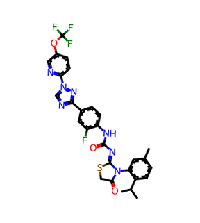 Cc1ccc(C(C)C)c(N2C(=O)CSC2=NC(=O)Nc2ccc(-c3ncn(-c4ccc(OC(F)(F)F)cn4)n3)cc2F)c1